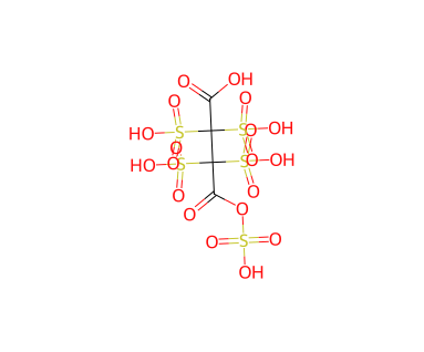 O=C(O)C(C(C(=O)OS(=O)(=O)O)(S(=O)(=O)O)S(=O)(=O)O)(S(=O)(=O)O)S(=O)(=O)O